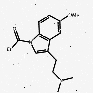 CCC(=O)n1cc(CCN(C)C)c2cc(OC)ccc21